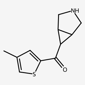 Cc1csc(C(=O)C2C3CNCC32)c1